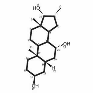 C[C@@H]1CC2C3C(CC[C@]2(C)[C@@H]1O)[C@@]1(C)CC[C@H](O)C[C@H]1C[C@H]3O